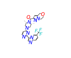 C[C@@H]1CN(c2ccnc(-c3cnc4ccc(C(F)(F)F)cn34)n2)C[C@H](C)N1C(=O)c1cc2n(n1)CCOC2